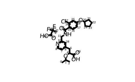 CC(C)OC(Cc1ccnc(CNC(=O)c2ccc(OC3CCCC3)cc2Cl)c1)C(=O)O.O=C(O)C(F)(F)F